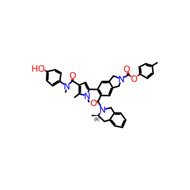 Cc1ccc(OC(=O)N2Cc3cc(C(=O)N4Cc5ccccc5C[C@H]4C)c(-c4cc(C(=O)N(C)c5ccc(O)cc5)c(C)n4C)cc3C2)cc1